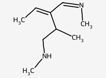 C/C=C(/C=N\C)C(C)CNC